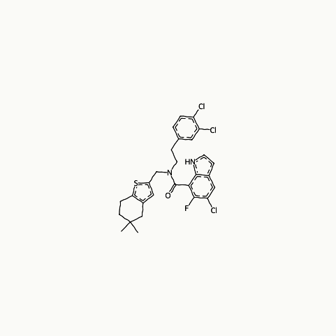 CC1(C)CCc2sc(CN(CCc3ccc(Cl)c(Cl)c3)C(=O)c3c(F)c(Cl)cc4cc[nH]c34)cc2C1